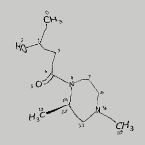 CC(O)CC(=O)N1CCN(C)C[C@H]1C